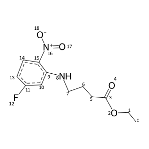 CCOC(=O)CCCNc1cc(F)ccc1[N+](=O)[O-]